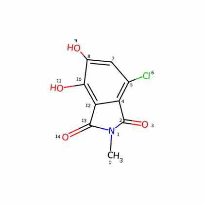 CN1C(=O)c2c(Cl)cc(O)c(O)c2C1=O